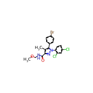 COCNC(=O)c1nn(-c2ccc(Cl)cc2Cl)c(-c2ccc(Br)cc2)c1C